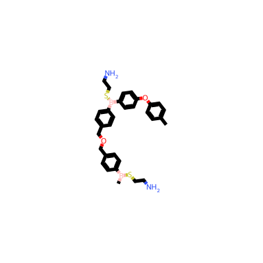 CB(SCCN)c1ccc(COCc2ccc(B(SCCN)c3ccc(Oc4ccc(C)cc4)cc3)cc2)cc1